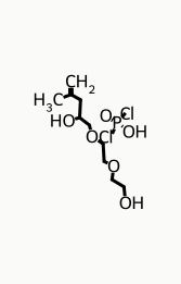 C=C(C)CC(O)COCCOCCO.O=P(O)(Cl)Cl